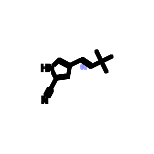 CC(C)(C)/C=C/c1c[nH]c(C#N)c1